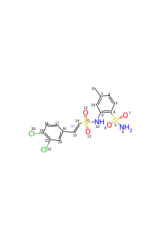 Cc1ccc(S(N)(=O)=O)c(NS(=O)(=O)/C=C/c2ccc(Cl)c(Cl)c2)c1